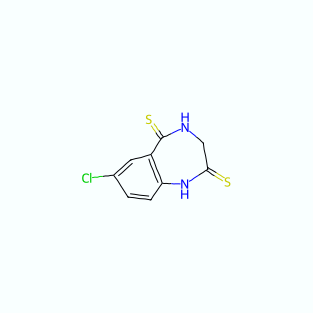 S=C1CNC(=S)c2cc(Cl)ccc2N1